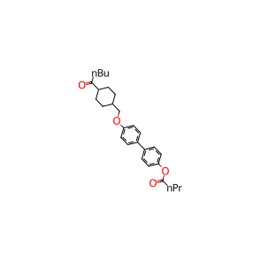 CCCCC(=O)C1CCC(COc2ccc(-c3ccc(OC(=O)CCC)cc3)cc2)CC1